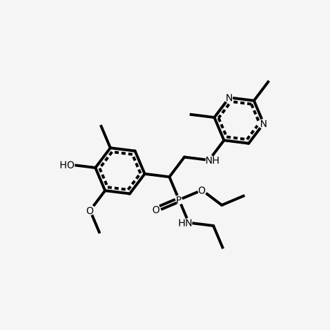 CCNP(=O)(OCC)C(CNc1cnc(C)nc1C)c1cc(C)c(O)c(OC)c1